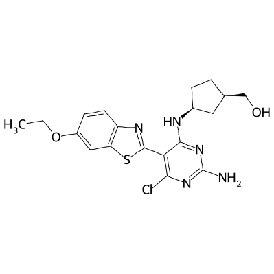 CCOc1ccc2nc(-c3c(Cl)nc(N)nc3N[C@H]3CC[C@@H](CO)C3)sc2c1